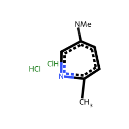 CNc1ccc(C)nc1.Cl.Cl